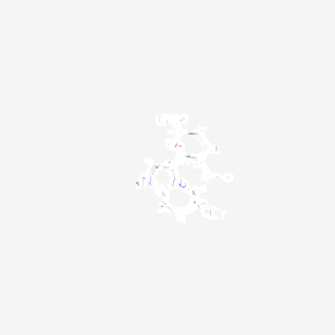 CCC1=C(c2cnc3ccc(Br)cn23)OC(S)=C=C1